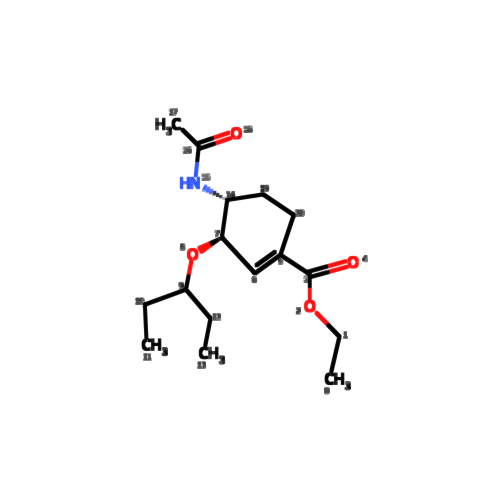 CCOC(=O)C1=C[C@@H](OC(CC)CC)[C@H](NC(C)=O)CC1